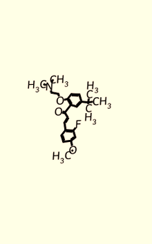 COc1ccc(C=CC(=O)c2cc(C(C)(C)C)ccc2OCCN(C)C)c(F)c1